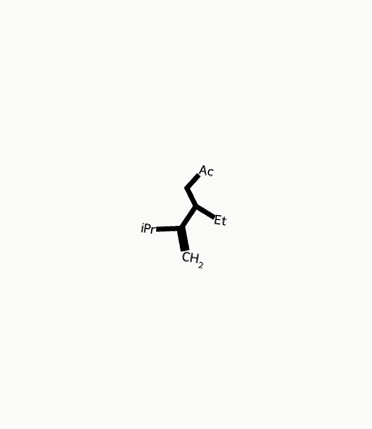 C=C(C(C)C)C(CC)CC(C)=O